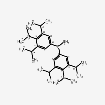 BP(c1cc(C(C)C)c(N(C)C)c(C(C)C)c1)c1cc(C(C)C)c(N(C)C)c(C(C)C)c1